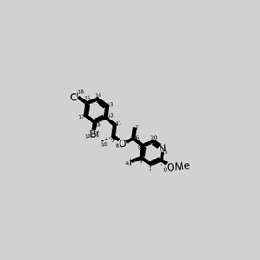 COc1cc(I)c(C(C)O[C@H](C)Cc2ccc(Cl)cc2Br)cn1